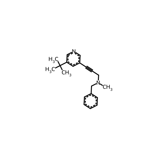 CN(CC#Cc1cncc(C(C)(C)C)c1)Cc1ccccc1